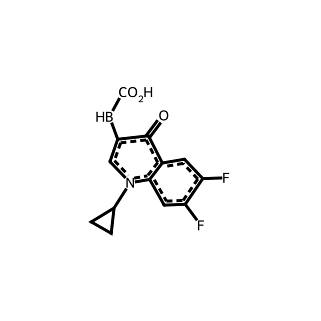 O=C(O)Bc1cn(C2CC2)c2cc(F)c(F)cc2c1=O